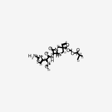 C=CC1(C(=O)OCOC(=O)C(C)C)CS[C@@H]2C(NC(=O)C(=NOC)c3csc(N)n3)C(=O)N2C1